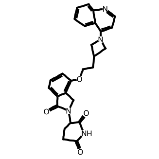 O=C1CCC(N2Cc3c(OCCC4CN(c5ccnc6ccccc56)C4)cccc3C2=O)C(=O)N1